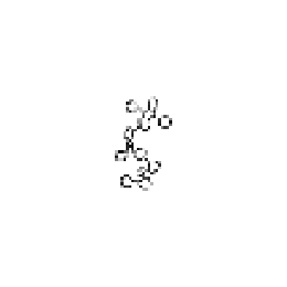 c1ccc(-c2c3ccccc3c(-c3ccccc3)c3cc(-c4cccc(-n5c6ccccc6c6cc(-c7cccc8c7sc7c(-c9ccccc9)cccc78)ccc65)c4)ccc23)cc1